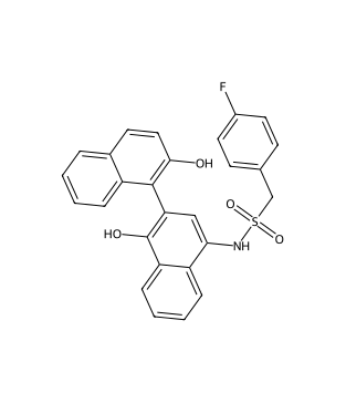 O=S(=O)(Cc1ccc(F)cc1)Nc1cc(-c2c(O)ccc3ccccc23)c(O)c2ccccc12